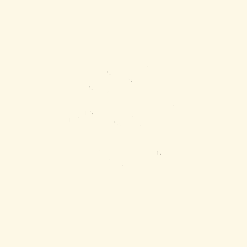 CC1CCCCCN2CCC(CC2)C(F)(F)c2cccc(c2F)[C@@H](C)Nc2ncnc3c2cc(C2(C#N)CC2)c(=O)n31